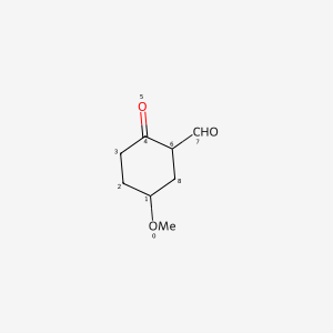 COC1CCC(=O)C(C=O)C1